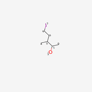 CC([O])C(C)CCI